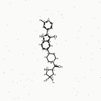 CCc1c(-c2ccnc(C)c2)[nH]c2ccc(C3CCN(C(=O)C4CC(F)(F)CN4)CC3)cc12